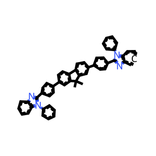 CC1(C)c2cc(-c3ccc(-c4nc5ccccc5n4-c4ccccc4)cc3)ccc2-c2ccc(-c3ccc(-c4nc5ccccc5n4-c4ccccc4)cc3)cc21